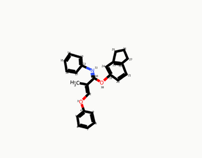 CC(=COc1ccccc1)C(=Nc1ccccc1)Oc1ccc2c(c1)CCC2